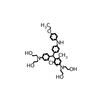 CCOc1ccc(Nc2ccc(C(c3ccc(N(CCO)CCO)cc3C)c3ccc(N(CCO)CCO)cc3C)cc2)cc1